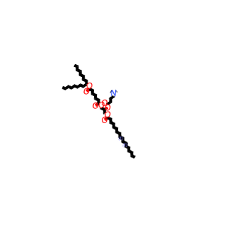 CCCCC/C=C/C/C=C/CCCCCCCC(=O)OCC(COC(=O)CCCCCC(=O)OC(CCCCCCCC)CCCCCCCC)OC(=O)CCCN(C)C